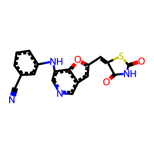 N#Cc1cccc(Nc2cncc3cc(C=C4SC(=O)NC4=O)oc23)c1